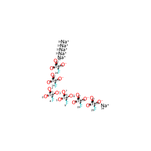 O=[Te](=O)([O-])F.O=[Te](=O)([O-])F.O=[Te](=O)([O-])F.O=[Te](=O)([O-])F.O=[Te](=O)([O-])F.O=[Te](=O)([O-])F.[Na+].[Na+].[Na+].[Na+].[Na+].[Na+]